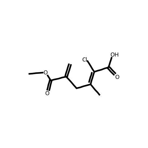 C=C(CC(C)=C(Cl)C(=O)O)C(=O)OC